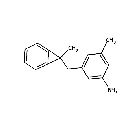 Cc1cc(N)cc(CC2(C)c3ccccc32)c1